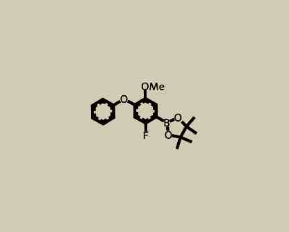 COc1cc(B2OC(C)(C)C(C)(C)O2)c(F)cc1Oc1ccccc1